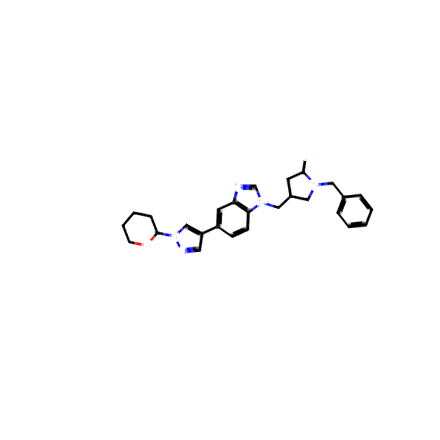 CC1CC(Cn2cnc3cc(-c4cnn(C5CCCCO5)c4)ccc32)CN1Cc1ccccc1